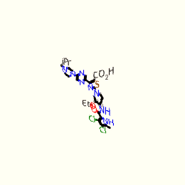 CCO[C@H]1CN(c2nc(-c3cnc(N4CCN(CC(C)C)CC4)cn3)c(C(=O)O)s2)CC[C@H]1NC(=O)c1[nH]c(C)c(Cl)c1Cl